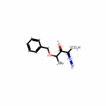 CC(C)(C)C(OCc1ccccc1)C(=O)C(=[N+]=[N-])C(=O)O